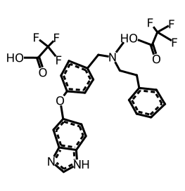 CN(CCc1ccccc1)Cc1ccc(Oc2ccc3[nH]cnc3c2)cc1.O=C(O)C(F)(F)F.O=C(O)C(F)(F)F